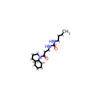 CCCCNC(=O)NCCC(=O)N1CCCC2CCCCC21